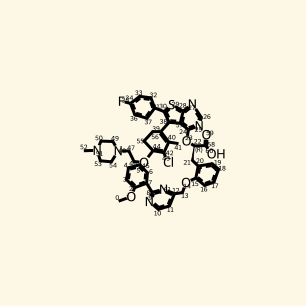 COc1ccccc1-c1nccc(COc2ccccc2C[C@@H](Oc2ncnc3sc(-c4ccc(F)cc4)c(C4=C(C)C(Cl)=C(OCCN5CCN(C)CC5)CC4)c23)C(=O)O)n1